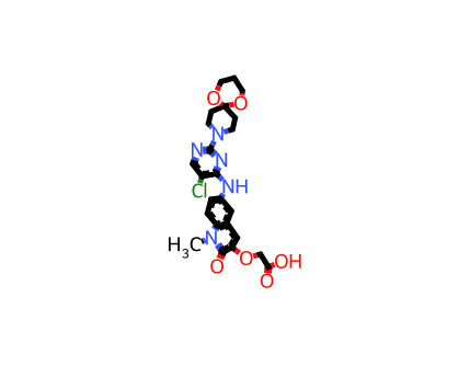 Cn1c(=O)c(OCC(=O)O)cc2cc(Nc3nc(N4CCC5(CC4)OCCCO5)ncc3Cl)ccc21